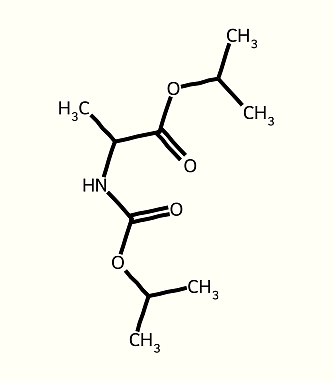 CC(C)OC(=O)NC(C)C(=O)OC(C)C